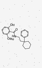 COc1cccc(O)c1C(=O)NCCC1(c2ccccc2)CCCCC1